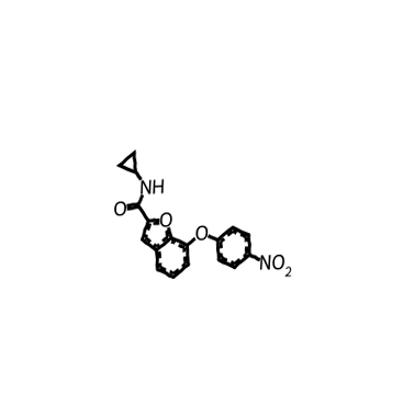 O=C(NC1CC1)c1cc2cccc(Oc3ccc([N+](=O)[O-])cc3)c2o1